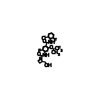 C[C@H](Oc1cc(NC(=O)N2CCC2CO)c(F)cc1C(=O)Nc1c(F)cccc1Cl)C(F)(F)F